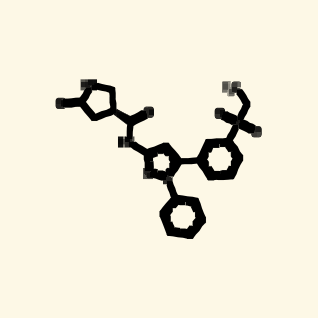 O=C1C[C@H](C(=O)Nc2cc(-c3cccc(S(=O)(=O)CC(F)(F)F)c3)n(-c3ccccc3)n2)CN1